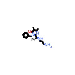 Cc1nc(C(NCCCN)C(C)C)n(Cc2ccccc2)c(=O)c1C